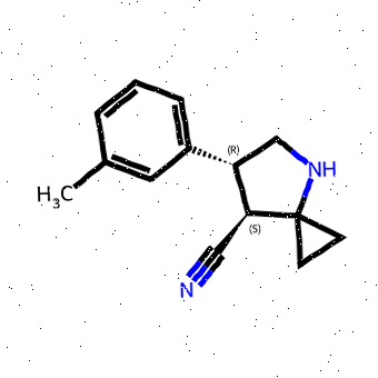 Cc1cccc([C@@H]2CNC3(CC3)[C@H]2C#N)c1